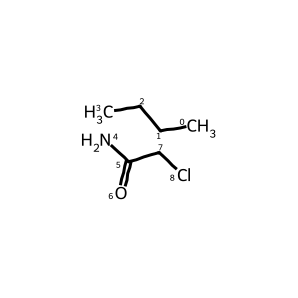 CCCC.NC(=O)CCl